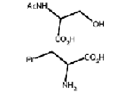 CC(=O)NC(CO)C(=O)O.CC(C)CC(N)C(=O)O